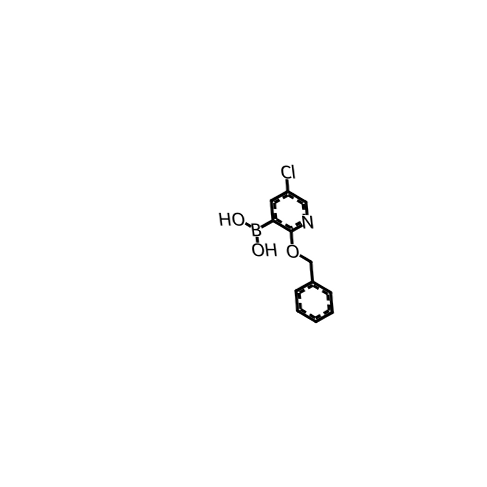 OB(O)c1cc(Cl)cnc1OCc1ccccc1